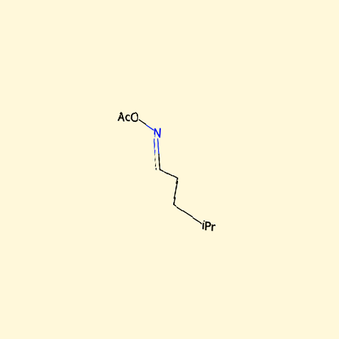 CC(=O)ON=CCCC(C)C